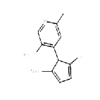 COC1=CC=C(Cl)C1c1cc(C)ncc1C(=O)O